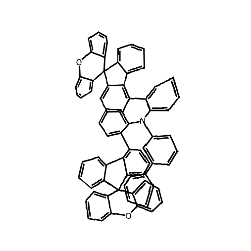 c1ccc(-c2cccc(N(c3ccccc3-c3cccc4c3-c3ccccc3C43c4ccccc4Oc4ccccc43)c3ccccc3-c3cccc4c3-c3ccccc3C43c4ccccc4Oc4ccccc43)c2)cc1